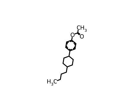 CCCCC1CCC(c2ccc(OC(C)=O)cc2)CC1